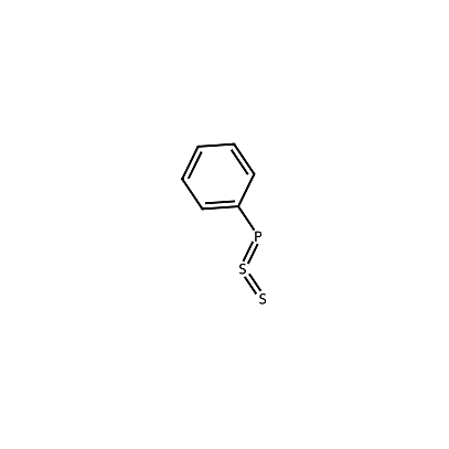 S=S=Pc1ccccc1